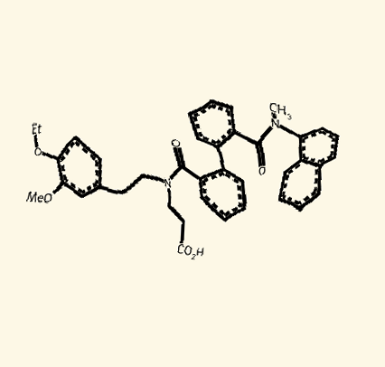 CCOc1ccc(CCN(CCC(=O)O)C(=O)c2ccccc2-c2ccccc2C(=O)N(C)c2cccc3ccccc23)cc1OC